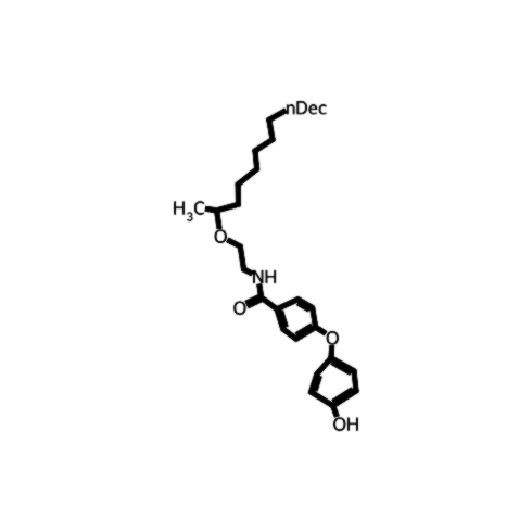 CCCCCCCCCCCCCCCCC(C)OCCNC(=O)c1ccc(Oc2ccc(O)cc2)cc1